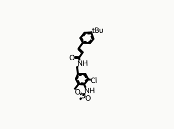 Cc1cc(CNC(=O)C=Cc2ccc(C(C)(C)C)cc2)cc(Cl)c1NS(C)(=O)=O